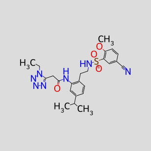 CCn1nnnc1CC(=O)Nc1cc(C(C)C)ccc1CCNS(=O)(=O)c1cc(C#N)ccc1OC